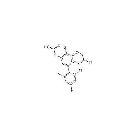 O=C(O)Oc1cn(-c2c(F)cc(F)cc2Cl)c2nc(Cl)ccc2c1=O